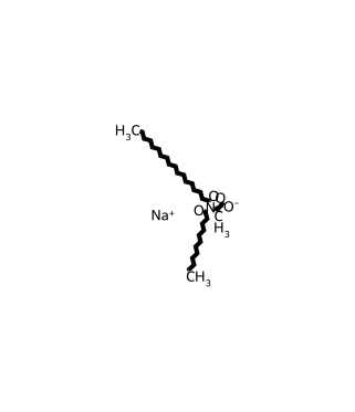 CCCCCCCCCCCCCCCCCC(=O)N(C(=O)CCCCCCCCCCC)[C@@H](C)C(=O)[O-].[Na+]